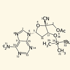 CC(=O)OC[C@@]1(C#N)O[C@@H](n2cnc3c(N)ncnc32)CC1O[Si](C)(C)C(C)(C)C